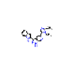 Cc1ncc(-c2cc3c(-c4cc5ccccc5[nH]4)n[nH]c3cn2)n1C